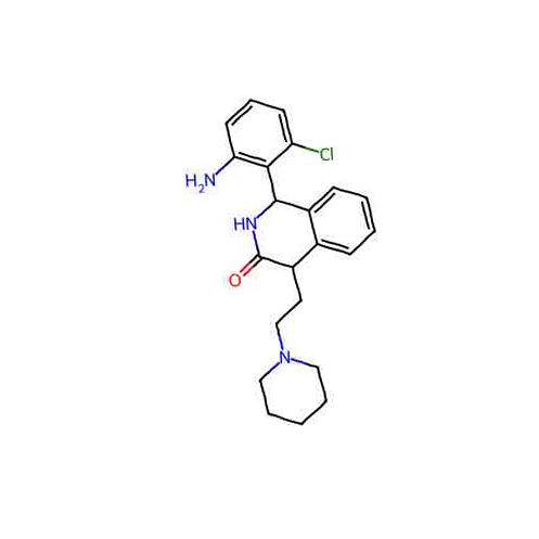 Nc1cccc(Cl)c1C1NC(=O)C(CCN2CCCCC2)c2ccccc21